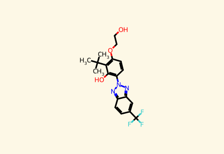 CC(C)(C)c1c(OCCO)ccc(-n2nc3ccc(C(F)(F)F)cc3n2)c1O